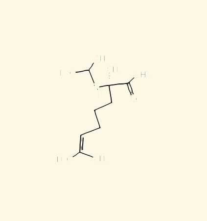 CC(=O)[C@@](C)(CCCC=C(C)C)NC(C)C